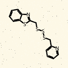 c1ccc(CSSSCc2nc3ccccc3s2)nc1